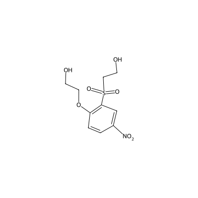 O=[N+]([O-])c1ccc(OCCO)c(S(=O)(=O)CCO)c1